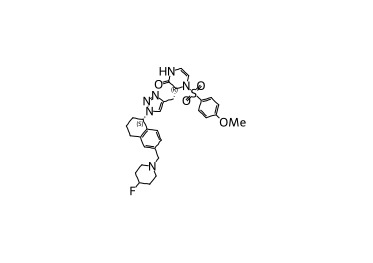 COc1ccc(S(=O)(=O)N2C=CNC(=O)[C@H]2Cc2cn([C@H]3CCCc4cc(CN5CCC(F)CC5)ccc43)nn2)cc1